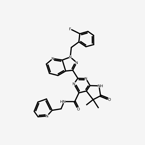 CC1(C)C(=O)Nc2nc(-c3nn(Cc4ccccc4F)c4ncccc34)nc(C(=O)NCc3ccccn3)c21